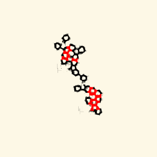 CC1(C)c2ccccc2-c2cc(-c3ccccc3N(c3ccc4c(c3)c3ccccc3n4-c3cccc(-c4ccc5c(c4)-c4cccc(-c6ccccc6N(c6ccc7c(c6)c6ccccc6n7-c6ccccc6)c6cccc(-c7ccccc7)c6-c6ccccc6-c6ccccc6)c4C5(C)C)c3)c3cccc(-c4ccccc4)c3-c3ccccc3-c3ccccc3)ccc21